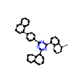 C[C@H]1CC=Cc2c(-c3nc(-c4ccc(-c5cccc6ccccc56)cc4)nc(-c4cccc5ccccc45)n3)cccc21